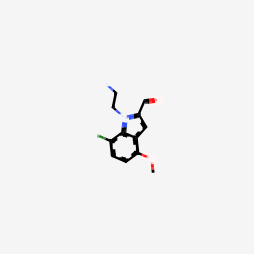 COc1ccc(Cl)c2c1cc(C=O)n2CCN